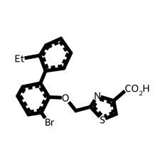 CCc1ccccc1-c1cccc(Br)c1OCc1nc(C(=O)O)cs1